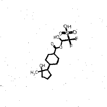 CC1(O)CCCC1C1CCC(C(=O)OC(O)C(F)(F)S(=O)(=O)O)CC1